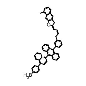 Bc1ccc(C(/C=C\C(=C)c2c3ccccc3c(-c3cccc(C/C=C\C=C4/Cc5cc6cccc(C)c6cc5O4)c3)c3ccccc23)=C2\C=CC=CC2)cc1